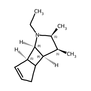 CCN1[C@H]2[C@H](C3CC=C[C@H]32)[C@H](C)[C@@H]1C